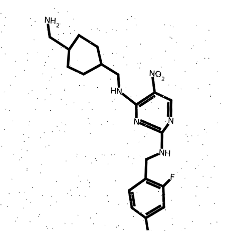 NCC1CCC(CNc2nc(NCc3ccc(Cl)cc3F)ncc2[N+](=O)[O-])CC1